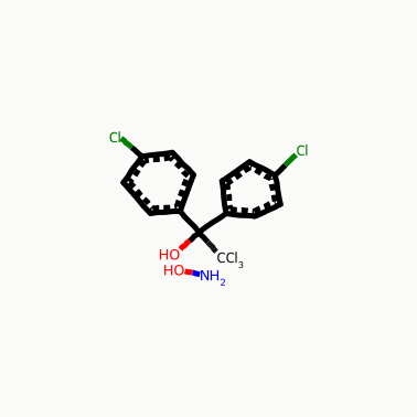 NO.OC(c1ccc(Cl)cc1)(c1ccc(Cl)cc1)C(Cl)(Cl)Cl